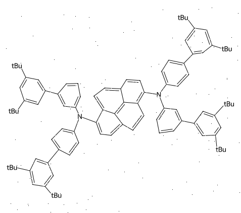 CC(C)(C)c1cc(-c2ccc(N(c3cccc(-c4cc(C(C)(C)C)cc(C(C)(C)C)c4)c3)c3ccc4ccc5c(N(c6ccc(-c7cc(C(C)(C)C)cc(C(C)(C)C)c7)cc6)c6cccc(-c7cc(C(C)(C)C)cc(C(C)(C)C)c7)c6)ccc6ccc3c4c65)cc2)cc(C(C)(C)C)c1